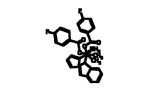 [CH3][Ti]([CH3])(=[SiH2])([O]C(=O)c1ccc(F)cc1)([O]C(=O)c1ccc(F)cc1)([C]1=CC=CC1)[CH]1C=Cc2ccccc21